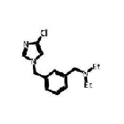 CCN(CC)Cc1cccc(Cn2cnc(Cl)c2)c1